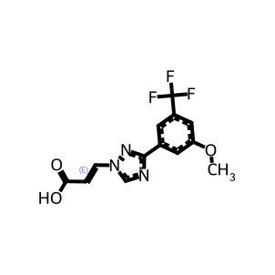 COc1cc(-c2ncn(/C=C/C(=O)O)n2)cc(C(F)(F)F)c1